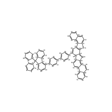 c1ccc(C2(c3ccccc3)c3ccccc3-c3c(-c4ccc(-c5ccc(-c6cc7c(sc8ccc9ccccc9c87)c7nc8c9ccc%10ccccc%10c9ccc8n67)cc5)cc4)cccc32)cc1